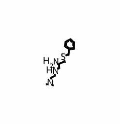 CN(C)CCNCC(N)CSCc1ccccc1